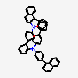 c1ccc(-c2ccc(N(c3ccc(-c4cccc5ccccc45)cc3)c3ccccc3-c3ccc(-n4c5ccccc5c5c6ccccc6ccc54)cc3)cc2)cc1